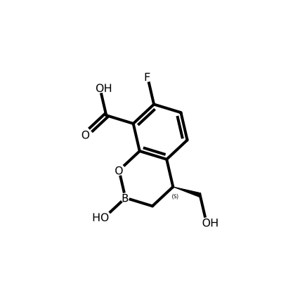 O=C(O)c1c(F)ccc2c1OB(O)C[C@@H]2CO